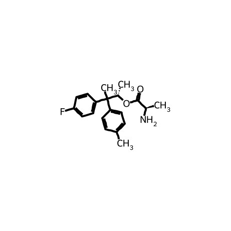 Cc1ccc(C(C)(c2ccc(F)cc2)[C@H](C)OC(=O)[C@@H](C)N)cc1